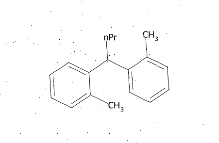 CCC[C](c1ccccc1C)c1ccccc1C